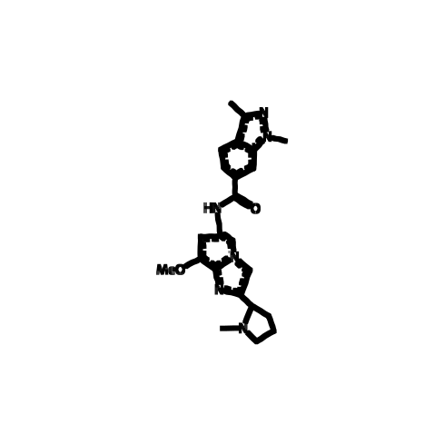 COc1cc(NC(=O)c2ccc3c(C)nn(C)c3c2)cn2cc(C3CCCN3C)nc12